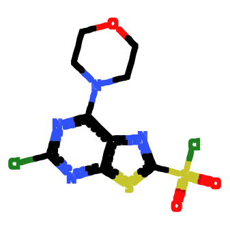 O=S(=O)(Cl)c1nc2c(N3CCOCC3)nc(Cl)nc2s1